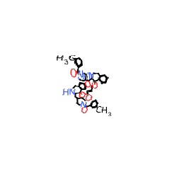 Cc1cccc(C(=O)N2CCC(CC3NCCc4ccccc4C3OC(=O)/C=C/C(=O)OC3c4ccccc4CCNC3CC3CCN(C(=O)c4cccc(C)c4)CC3)CC2)c1